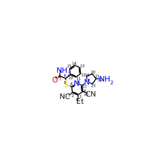 CCc1c(C#N)c(SC(C(N)=O)c2ccccc2)nc(N2CCC(N)C2)c1C#N